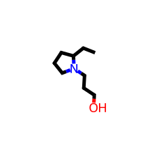 CCC1CCCN1CCCO